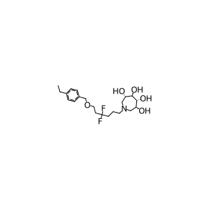 CCc1ccc(COCCC(F)(F)CCCN2C[C@H](O)[C@@H](O)[C@H](O)[C@@H](O)C2)cc1